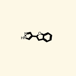 [c]1n[nH]cc1C1Cc2ccccc2O1